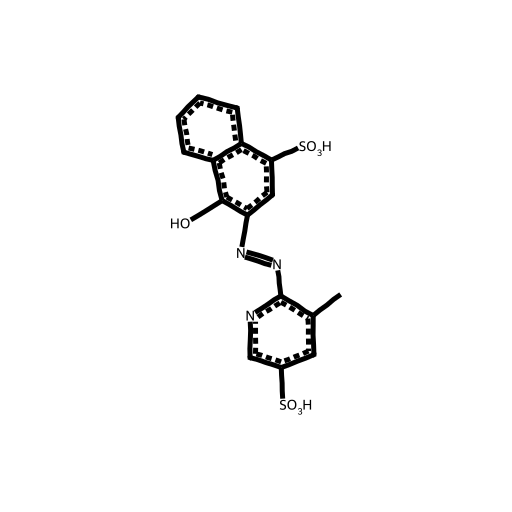 Cc1cc(S(=O)(=O)O)cnc1/N=N/c1cc(S(=O)(=O)O)c2ccccc2c1O